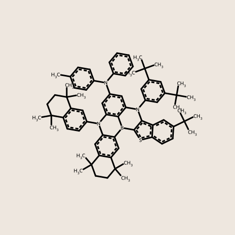 Cc1ccc(N(c2ccccc2)c2cc3c4c(c2)N(c2cc(C(C)(C)C)cc(C(C)(C)C)c2)c2c(sc5ccc(C(C)(C)C)cc25)B4c2cc4c(cc2N3c2ccc3c(c2)C(C)(C)CCC3(C)C)C(C)(C)CCC4(C)C)cc1